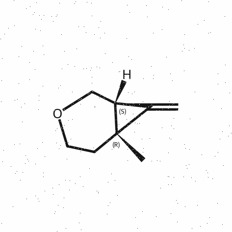 C=C1[C@H]2COCC[C@@]12C